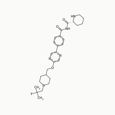 CC(C)(F)CN1CCC(COc2cnc(-c3ccc(C(=O)NC(=O)[C@H]4CCCCN4)cc3)cn2)CC1